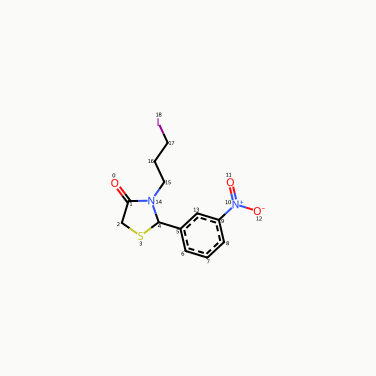 O=C1CSC(c2cccc([N+](=O)[O-])c2)N1CCCI